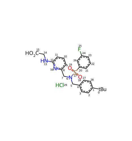 CC(C)(C)c1ccc(CN(Cc2cccc(NCC(=O)O)n2)S(=O)(=O)c2cccc(F)c2)cc1.Cl